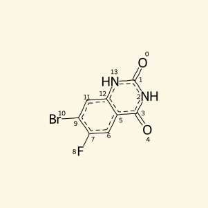 O=c1[nH]c(=O)c2cc(F)c(Br)cc2[nH]1